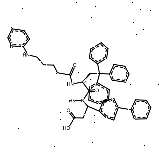 O=C(O)CC(c1ccc(-c2ccccc2)cc1)N(S)C(=O)[C@H](CC(c1ccccc1)(c1ccccc1)c1ccccc1)NC(=O)CCCCNc1ccccn1